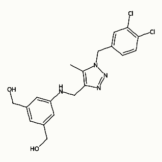 Cc1c(CNc2cc(CO)cc(CO)c2)nnn1Cc1ccc(Cl)c(Cl)c1